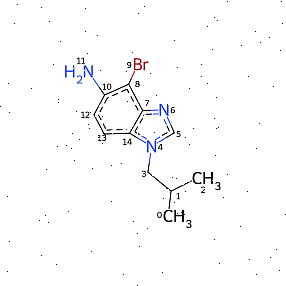 CC(C)Cn1cnc2c(Br)c(N)ccc21